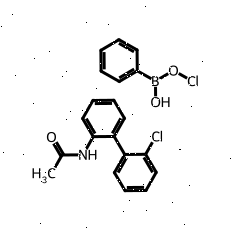 CC(=O)Nc1ccccc1-c1ccccc1Cl.OB(OCl)c1ccccc1